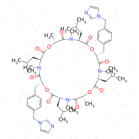 CC(C)C[C@H]1C(=O)O[C@H](Cc2ccc(Cn3ccnc3)cc2)C(=O)N(C)[C@@H](CC(C)C)C(=O)O[C@H](C)C(=O)N(C)[C@@H](CC(C)C)C(=O)O[C@H](Cc2ccc(Cn3ccnc3)cc2)C(=O)N(C)[C@@H](CC(C)C)C(=O)O[C@H](C)C(=O)N1C